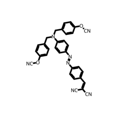 N#COc1ccc(CN(Cc2ccc(OC#N)cc2)c2ccc(N=Nc3ccc(C=C(C#N)C#N)cc3)cc2)cc1